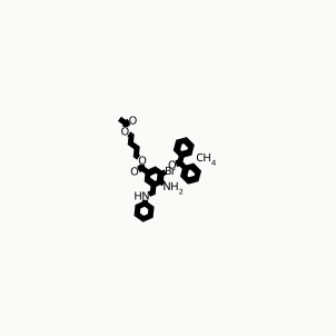 C.CC(=O)OCCCCOC(=O)c1cc(Br)c(N)c(CNC2CCCCC2)c1.O=C(c1ccccc1)c1ccccc1